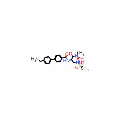 CCc1ccc(-c2ccc(C(=O)NC(CNS(C)(=O)=O)C(=O)N(C)O)cc2)cc1